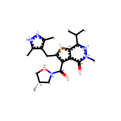 Cc1n[nH]c(C)c1Cc1sc2c(C(C)C)nn(C)c(=O)c2c1C(=O)N1C[C@H](C)CO1